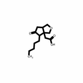 CCCCCC1C(=O)CC2COCC21CC(=O)O